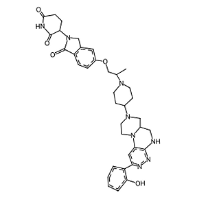 CC(COc1ccc2c(c1)CN(C1CCC(=O)NC1=O)C2=O)N1CCC(N2CCN3c4cc(-c5ccccc5O)nnc4NCC3C2)CC1